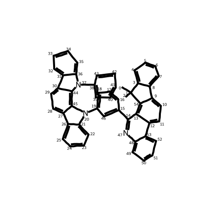 CC1(C)c2ccccc2-c2ccc3c(c(-c4cccc(-n5c6ccccc6c6ccc7c8ccccc8n(-c8ccccc8)c7c65)c4)nc4ccccc43)c21